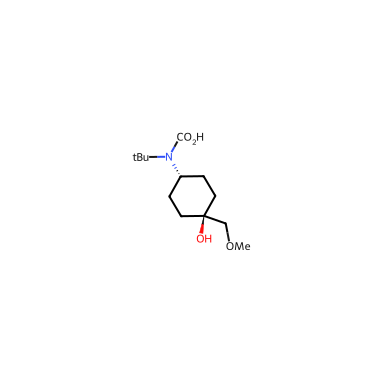 COC[C@]1(O)CC[C@H](N(C(=O)O)C(C)(C)C)CC1